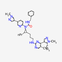 CCCC1/C(=[N+](/C(=O)NCc2ccccc2)c2ccc(-c3cnn(C)c3)cn2)C1CCCNc1ncc(C#N)c(-c2cnn(C)c2C)n1